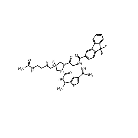 CC(=O)NCCNC[C@@]1(F)C[C@@H](C(=O)NC(C)c2cc(C(=N)N)cs2)N(C(=O)CNC(=O)c2ccc3c(c2)-c2ccccc2C3(F)F)C1